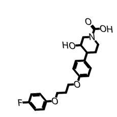 O=C(O)N1CCC(c2ccc(OCCCOc3ccc(F)cc3)cc2)C(O)C1